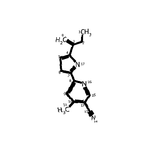 C=C(CC)C1=CCC(c2cc(C)c(C#N)cn2)=N1